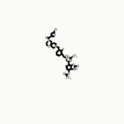 CCc1cc(C(=O)N2CCOC3(CCN(Cc4cccc(CCNC[C@H](OC(=O)C(F)(F)F)c5ccc(OC(=O)C(F)(F)F)c6[nH]c(=O)sc56)c4F)CC3)C2)cs1